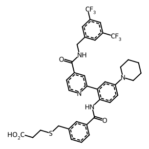 O=C(O)CCSCc1cccc(C(=O)Nc2ccc(N3CCCCC3)cc2-c2cc(C(=O)NCc3cc(C(F)(F)F)cc(C(F)(F)F)c3)ccn2)c1